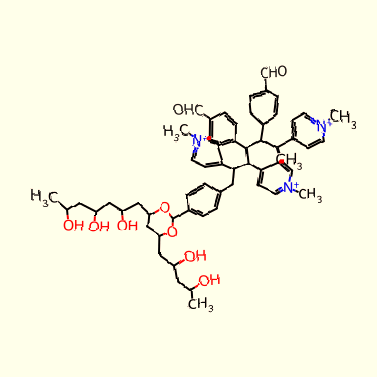 CC(O)CC(O)CC(O)CC1CC(CC(O)CC(C)O)OC(c2ccc(CC(c3cc[n+](C)cc3)C(c3cc[n+](C)cc3)C(c3ccc(C=O)cc3)C(C3C=CC(C=O)=CC3)C(C)c3cc[n+](C)cc3)cc2)O1